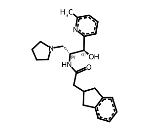 Cc1cccc([C@@H](O)[C@@H](CN2CCCC2)NC(=O)CC2Cc3ccccc3C2)n1